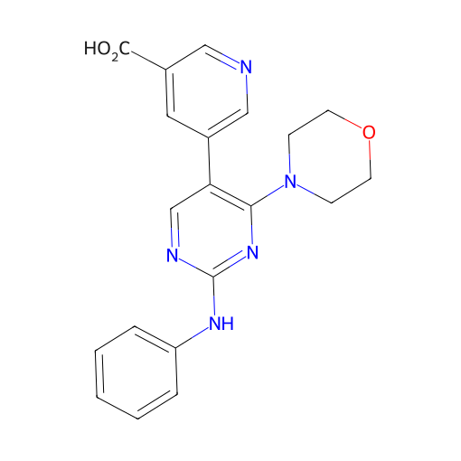 O=C(O)c1cncc(-c2cnc(Nc3ccccc3)nc2N2CCOCC2)c1